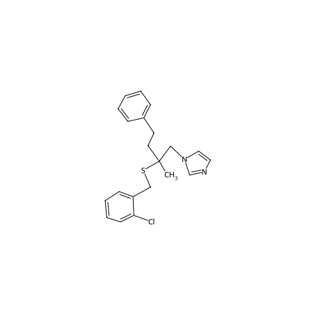 CC(CCc1ccccc1)(Cn1ccnc1)SCc1ccccc1Cl